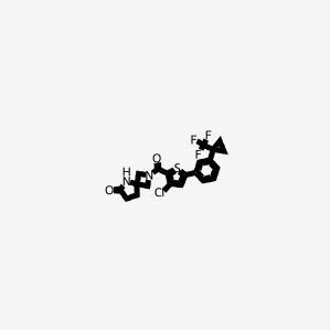 O=C1CCC2(CN(C(=O)c3sc(-c4cccc(C5(C(F)(F)F)CC5)c4)cc3Cl)C2)N1